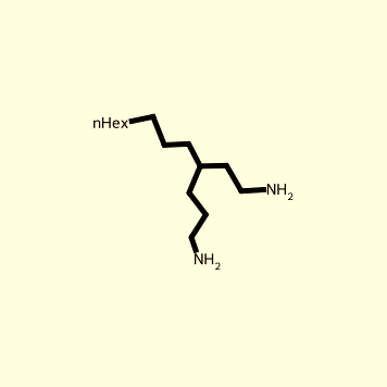 CCCCCCCCCC(CCN)CCCN